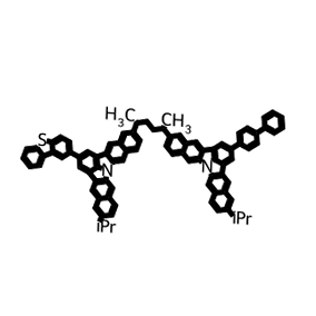 CC(C)c1ccc2cc3c(cc2c1)c1cc(-c2ccc(-c4ccccc4)cc2)cc2c4cc5cc(C(C)CCC(C)c6ccc7cc8c(cc7c6)c6cc(-c7ccc9sc%10ccccc%10c9c7)cc7c9cc%10cc(C(C)C)ccc%10cc9n8c76)ccc5cc4n3c12